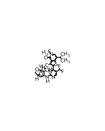 Cc1c(-c2nc(N[C@@H]3C[C@H]4CO[C@H](O4)[C@H]3O)ncc2C(F)F)sc2c(C(C)C)cn(C)c(=O)c12